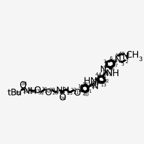 CN1CCN(c2ccc3nc(-c4ccc5nc(-c6ccc(OCCCC(=O)NCCOCCOCCNC(=O)C(C)(C)C)cc6)[nH]c5c4)[nH]c3c2)CC1